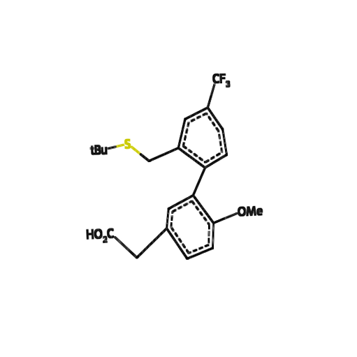 COc1ccc(CC(=O)O)cc1-c1ccc(C(F)(F)F)cc1CSC(C)(C)C